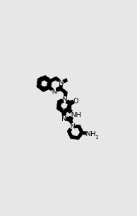 CN1Cc2ccccc2N=C1Cn1ccc2nc(N3CCCC(N)C3)[nH]c2c1=O